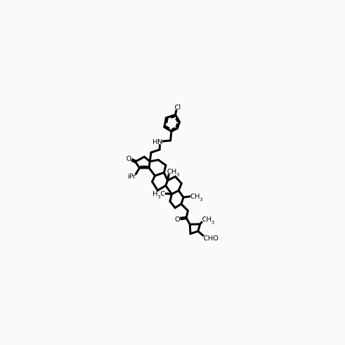 CC(C)C1=C2C3CCC4C(C)(CCC5C(C)C(CC(=O)C6CC(C=O)C6C)CCC54C)C3CCC2(CCNCc2ccc(Cl)cc2)CC1=O